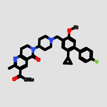 CCOc1cc(-c2ccc(F)cc2)c(C2CC2)cc1CN1CCC(N2CCc3nc(C)c(C(=O)OC)cc3C2=O)CC1